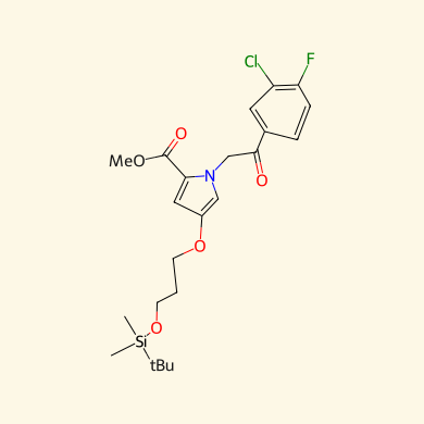 COC(=O)c1cc(OCCCO[Si](C)(C)C(C)(C)C)cn1CC(=O)c1ccc(F)c(Cl)c1